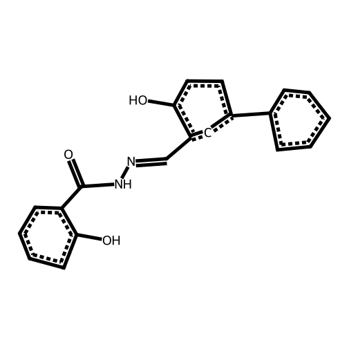 O=C(NN=Cc1cc(-c2ccccc2)ccc1O)c1ccccc1O